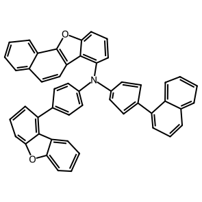 c1ccc2c(-c3ccc(N(c4ccc(-c5cccc6oc7ccccc7c56)cc4)c4cccc5oc6c7ccccc7ccc6c45)cc3)cccc2c1